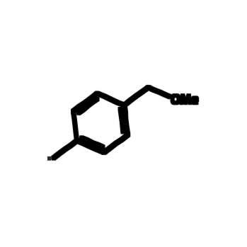 [CH2]c1ccc(COC)cc1